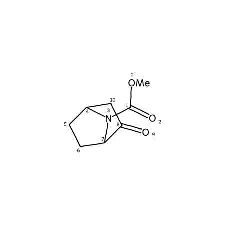 COC(=O)N1C2CCC1C(=O)C2